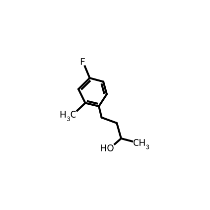 Cc1cc(F)ccc1CCC(C)O